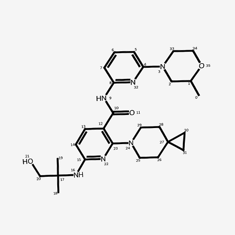 CC1CN(c2cccc(NC(=O)c3ccc(NC(C)(C)CO)nc3N3CCC4(CC3)CC4)n2)CCO1